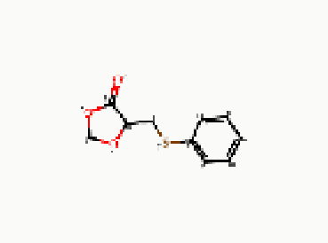 O=C1OCOC1CSc1ccccc1